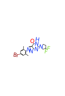 Cc1cc(Br)cc(C)c1-n1cc2c(=O)[nH]c(N3CCC(F)(F)C3)nc2n1